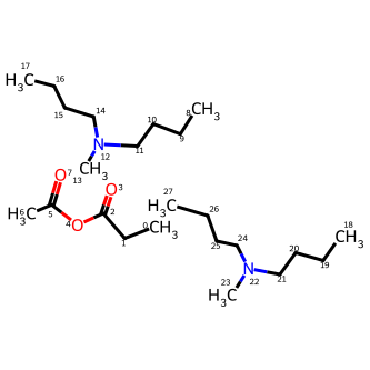 CCC(=O)OC(C)=O.CCCCN(C)CCCC.CCCCN(C)CCCC